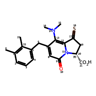 Cc1cccc(Cc2cc(=O)n3c(c2N(C)C)C(=S)C[C@@H]3C(=O)O)c1C